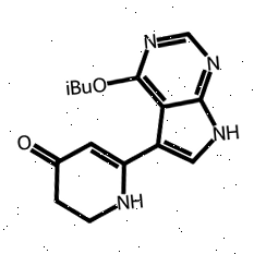 CC(C)COc1ncnc2[nH]cc(C3=CC(=O)CCN3)c12